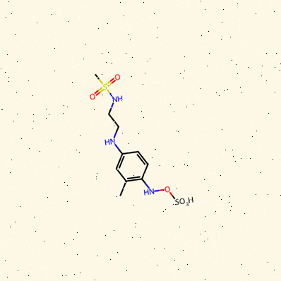 Cc1cc(NCCNS(C)(=O)=O)ccc1NOS(=O)(=O)O